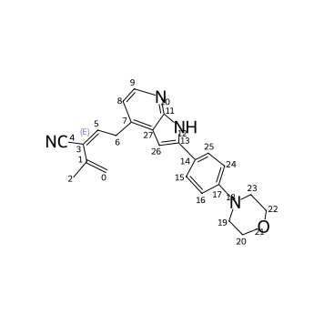 C=C(C)/C(C#N)=C\Cc1ccnc2[nH]c(-c3ccc(N4CCOCC4)cc3)cc12